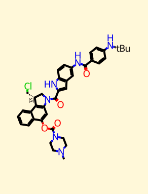 CN1CCN(C(=O)Oc2cc3c(c4ccccc24)[C@H](CCl)CN3C(=O)c2cc3cc(NC(=O)c4ccc(NC(C)(C)C)cc4)ccc3[nH]2)CC1